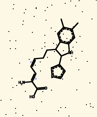 Cc1cc2c(cc1C)C(CC/C=C\C=C(/N)C(=O)O)C(c1ccsc1)N2